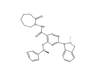 C[C@H](Oc1nc(N2c3ccccc3C[C@H]2C)ncc1C(=O)NN1CCCCCC1=O)c1ccccc1